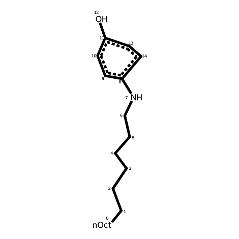 CCCCCCCCCCCCCCNc1ccc(O)cc1